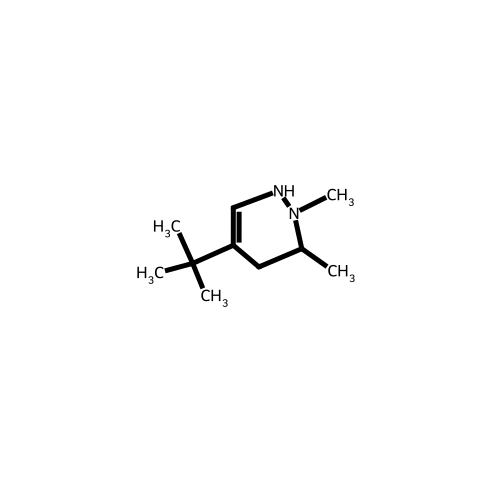 CC1CC(C(C)(C)C)=CNN1C